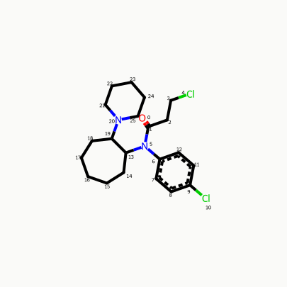 O=C(CCCl)N(c1ccc(Cl)cc1)C1CCCCCC1N1CCCCC1